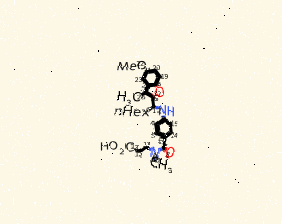 CCCCCCC(Nc1ccc(C(=O)N(C)CCC(=O)O)cc1)c1oc2ccc(OC)cc2c1C